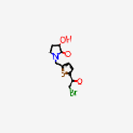 O=C(CBr)c1ccc(CN2CCC(O)C2=O)s1